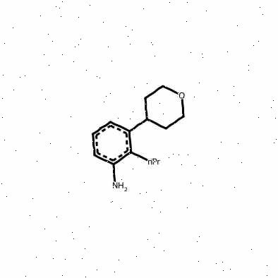 CCCc1c(N)cccc1C1CCOCC1